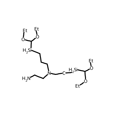 CCOC(OCC)[SiH2]CCCN(CCN)CCC[SiH2]C(OCC)OCC